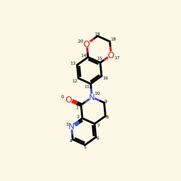 O=C1c2ncccc2CCN1c1ccc2c(c1)OCCO2